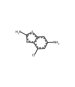 Nc1cc(Cl)c2nc(N)sc2c1